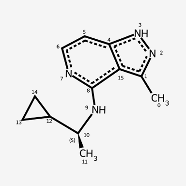 Cc1n[nH]c2ccnc(N[C@@H](C)C3CC3)c12